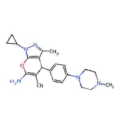 Cc1nn(C2CC2)c2c1C(c1ccc(N3CCN(C)CC3)cc1)C(C#N)=C(N)O2